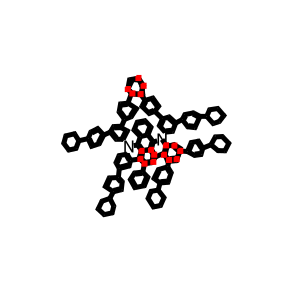 c1ccc(-c2ccc3c(N(c4cc(-c5ccc(C6CCCCC6)cc5)cc(-c5ccc(C6CCCCC6)cc5)c4)c4cc(-c5ccc(C6CCCCC6)cc5)cc(-c5ccc(C6CCCCC6)cc5)c4)c4ccccc4c(N(c4cc(-c5ccc(C6CCCCC6)cc5)cc(-c5ccc(C6CCCCC6)cc5)c4)c4ccc(-c5ccc(C6CCCCC6)cc5)cc4-c4ccc(C5CCCCC5)cc4)c3c2)cc1